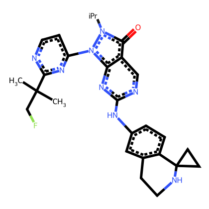 CC(C)n1c(=O)c2cnc(Nc3ccc4c(c3)CCNC43CC3)nc2n1-c1ccnc(C(C)(C)CF)n1